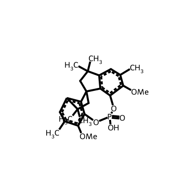 COc1c(C)cc2c3c1OP(=O)(O)Oc1c(OC)c(C)cc4c1C3(CC2(C)C)CC4(C)C